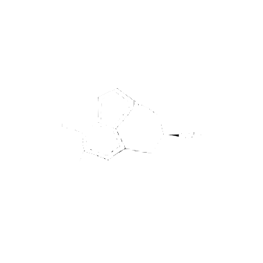 CN[C@H]1Cc2cc(F)c(F)c3ccn(c23)C1